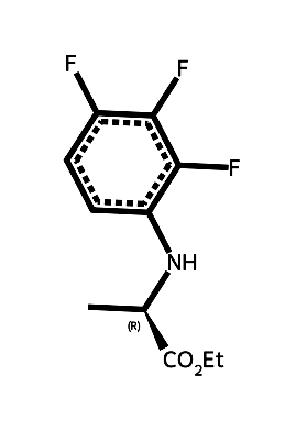 CCOC(=O)[C@@H](C)Nc1ccc(F)c(F)c1F